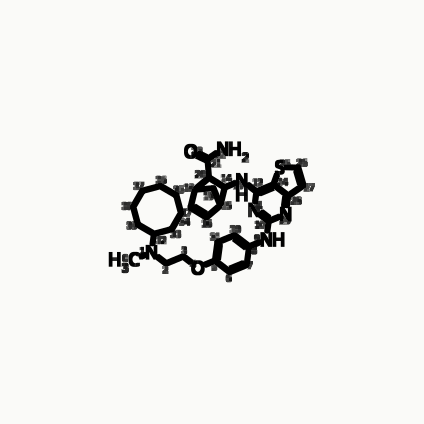 CN(CCOc1ccc(Nc2nc(NC3C4C=CC(C4)C3C(N)=O)c3sccc3n2)cc1)C1CCCCCCC1